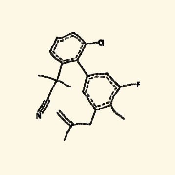 C=C(C)Cc1cc(-c2c(Cl)cccc2C(C)(C)C#N)cc(F)c1C